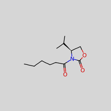 CCCCCC(=O)N1C(=O)OC[C@@H]1C(C)C